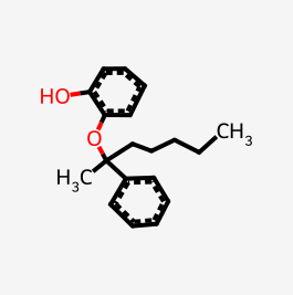 CCCCCC(C)(Oc1ccccc1O)c1ccccc1